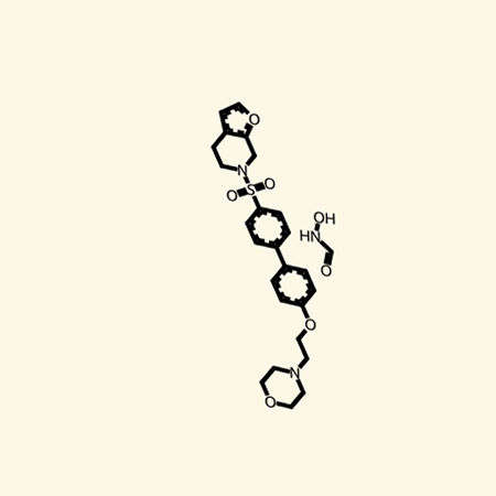 O=CNO.O=S(=O)(c1ccc(-c2ccc(OCCN3CCOCC3)cc2)cc1)N1CCc2ccoc2C1